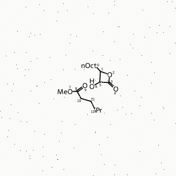 CCCCCCCCC1OC(=O)C1O.COC(=O)CCC(C)C